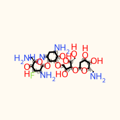 NC[C@@H]1O[C@H](O[C@H]2[C@@H](O)[C@H](O[C@@H]3[C@@H](O)[C@H](N)C[C@H](N)[C@H]3O[C@H]3O[C@H](CN)[C@@H](O)[C@H](F)[C@H]3N)O[C@@H]2CO)C[C@@H](O)[C@@H]1O